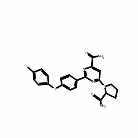 NC(=O)c1cc(N2CCCC2C(N)=O)nc(-c2ccc(Oc3ccc(F)cc3)cc2)n1